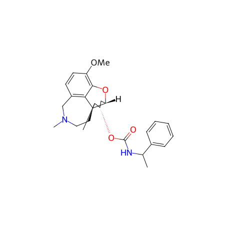 COc1ccc2c3c1O[C@H]1C[C@H](OC(=O)NC(C)c4ccccc4)C(C)[C@@]31CCN(C)C2